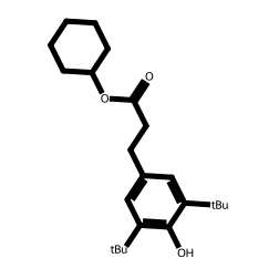 CC(C)(C)c1cc(CCC(=O)OC2CCCCC2)cc(C(C)(C)C)c1O